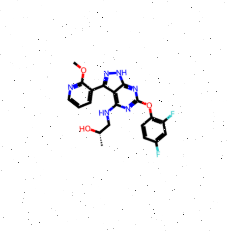 COc1ncccc1-c1n[nH]c2nc(Oc3ccc(F)cc3F)nc(NC[C@H](C)O)c12